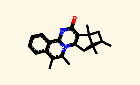 Cc1c(C)n2c3c(c(=O)nc2c2ccccc12)C1(C)CC2(C)C3C12C